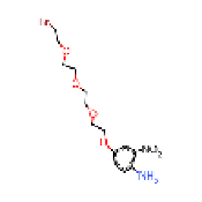 Nc1ccc(OCCOCCOCCOCCBr)cc1[N+](=O)[O-]